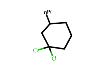 [CH2]CCC1CCCC(Cl)(Cl)C1